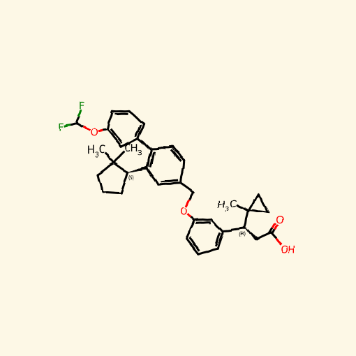 CC1(C)CCC[C@@H]1c1cc(COc2cccc([C@H](CC(=O)O)C3(C)CC3)c2)ccc1-c1cccc(OC(F)F)c1